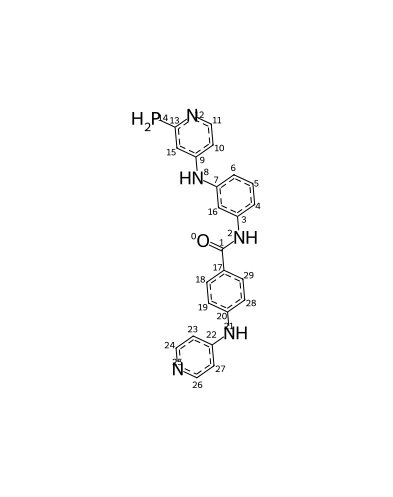 O=C(Nc1cccc(Nc2ccnc(P)c2)c1)c1ccc(Nc2ccncc2)cc1